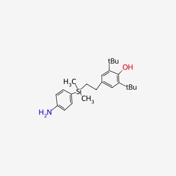 CC(C)(C)c1cc(CC[Si](C)(C)c2ccc(N)cc2)cc(C(C)(C)C)c1O